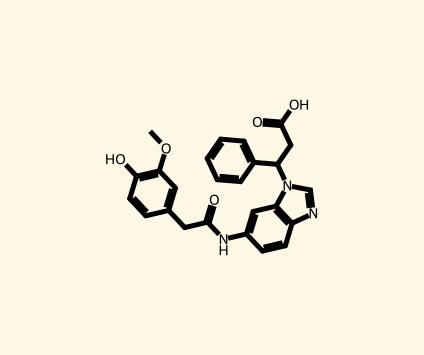 COc1cc(CC(=O)Nc2ccc3ncn(C(CC(=O)O)c4ccccc4)c3c2)ccc1O